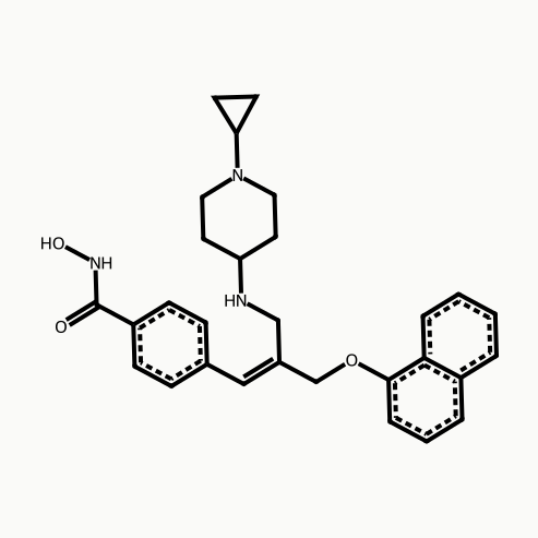 O=C(NO)c1ccc(/C=C(\CNC2CCN(C3CC3)CC2)COc2cccc3ccccc23)cc1